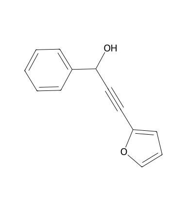 OC(C#Cc1ccco1)c1ccccc1